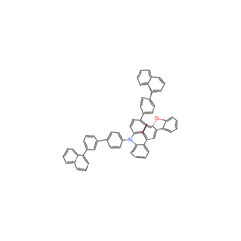 c1cc(-c2ccc(N(c3ccc(-c4ccc(-c5cccc6ccccc56)cc4)cc3)c3ccccc3-c3ccc4oc5ccccc5c4c3)cc2)cc(-c2cccc3ccccc23)c1